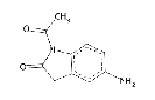 CC(=O)N1C(=O)Cc2cc(N)ccc21